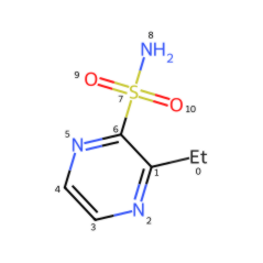 CCc1nccnc1S(N)(=O)=O